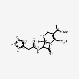 CC(=O)OC(C)C1=C(C(=O)O)N2C(=O)C(NC(=O)Cc3nnn[nH]3)[C@@H]2SC1